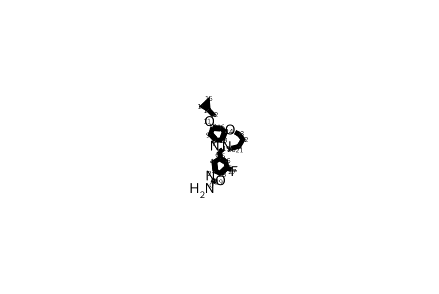 Nc1nc2cc(-c3nc4cc(OCC5CC5)cc5c4n3CCCCO5)cc(F)c2o1